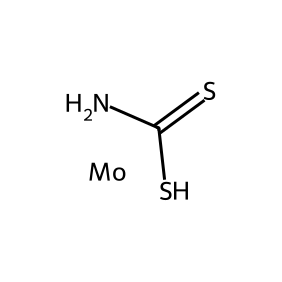 NC(=S)S.[Mo]